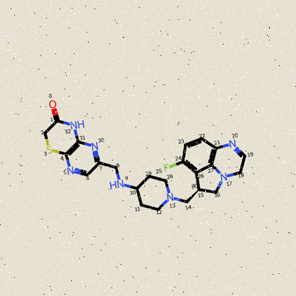 O=C1CSc2ncc(CNC3CCN(C[C@@H]4CN5CC=Nc6ccc(F)c4c65)CC3)nc2N1